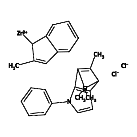 CC1=C2c3c(ccn3-c3ccccc3)C1[Si]2(C)C.CC1=Cc2ccccc2[CH]1[Zr+2].[Cl-].[Cl-]